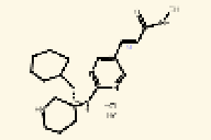 Cl.Cl.O=C(/C=C/c1cnc(N[C@@]2(CC3CCCCC3)CCCNC2)nc1)NO